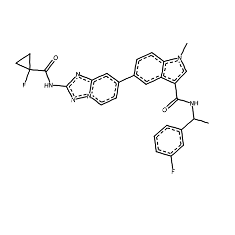 CC(NC(=O)c1cn(C)c2ccc(-c3ccn4nc(NC(=O)C5(F)CC5)nc4c3)cc12)c1cccc(F)c1